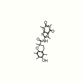 Cc1c(C)c2c(c(C)c1O)CCC(C)(C(=O)Nc1nc3c(c(=O)n(C)c(=O)n3C)n1C)O2